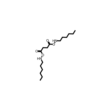 CCCCCCNOC(=O)CCC(=O)ONCCCCCC